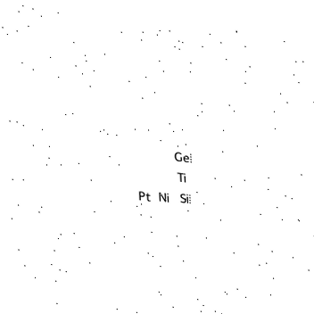 [Ge].[Ni].[Pt].[Si].[Ti]